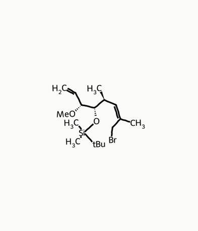 C=C[C@@H](OC)[C@@H](O[Si](C)(C)C(C)(C)C)[C@@H](C)/C=C(/C)CBr